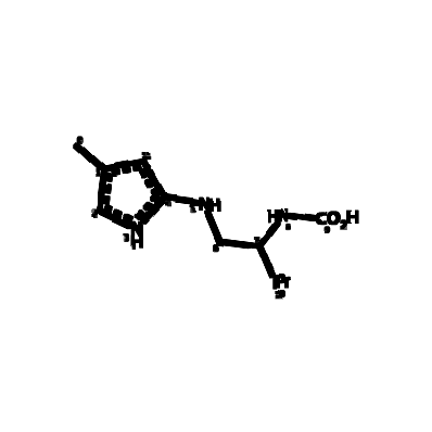 Cc1c[nH]c(NCC(NC(=O)O)C(C)C)c1